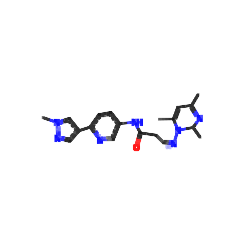 CC1=CC(C)=NC(C)N1/N=C\CC(=O)Nc1ccc(-c2cnn(C)c2)nc1